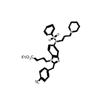 CCOC(=O)CCCn1c(Cc2ccc(C#N)cc2)nc2cc(N(CCCN3CCCCC3)S(=O)(=O)c3ccccc3)ccc21